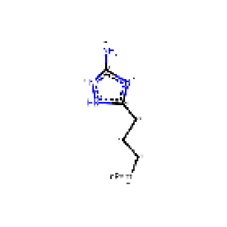 CCCCCCCCc1nc(N)n[nH]1